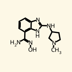 CN1CCC(Nc2nc3cccc(C(N)=NO)c3[nH]2)C1